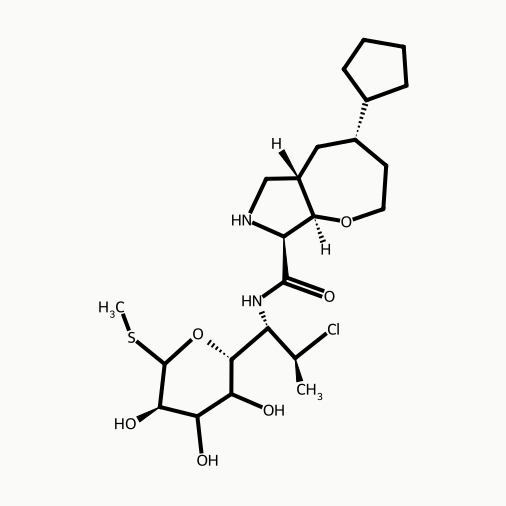 CSC1O[C@H]([C@H](NC(=O)[C@H]2NC[C@@H]3C[C@H](C4CCCC4)CCO[C@H]32)[C@H](C)Cl)C(O)C(O)[C@H]1O